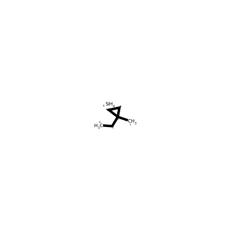 CCC1(C)CC1.[SiH4]